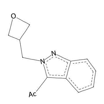 CC(=O)c1c2ccccc2nn1CC1COC1